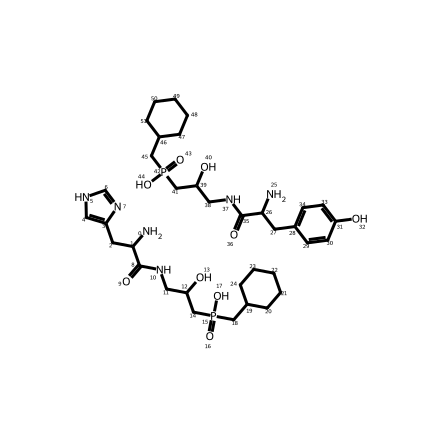 NC(Cc1c[nH]cn1)C(=O)NCC(O)CP(=O)(O)CC1CCCCC1.NC(Cc1ccc(O)cc1)C(=O)NCC(O)CP(=O)(O)CC1CCCCC1